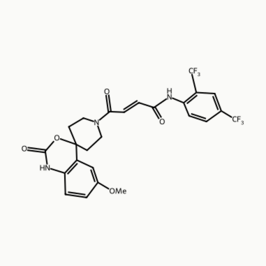 COc1ccc2c(c1)C1(CCN(C(=O)C=CC(=O)Nc3ccc(C(F)(F)F)cc3C(F)(F)F)CC1)OC(=O)N2